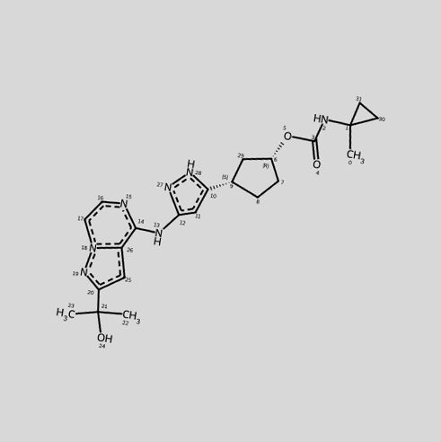 CC1(NC(=O)O[C@@H]2CC[C@H](c3cc(Nc4nccn5nc(C(C)(C)O)cc45)n[nH]3)C2)CC1